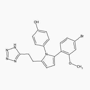 COc1cc(Br)ccc1-c1ccc(CCc2nnn[nH]2)n1-c1ccc(O)cc1